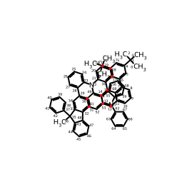 CC(C)(C)c1cc(-c2cccc3cccc(-c4ccccc4N(c4ccccc4-c4ccc5c(c4)C(C)(c4ccccc4)c4ccccc4-5)c4cccc5c4c4ccccc4n5-c4ccccc4)c23)cc(C(C)(C)C)c1